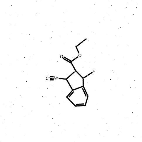 [C-]#[N+]C1c2ccccc2C(F)C1C(=O)OCC